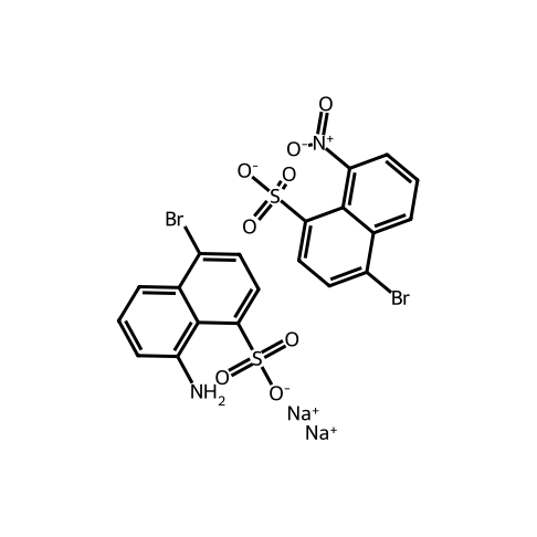 Nc1cccc2c(Br)ccc(S(=O)(=O)[O-])c12.O=[N+]([O-])c1cccc2c(Br)ccc(S(=O)(=O)[O-])c12.[Na+].[Na+]